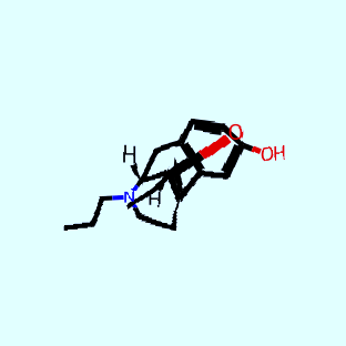 CCCN1CC[C@]23CCC(=O)C[C@H]2[C@H]1Cc1ccc(O)cc13